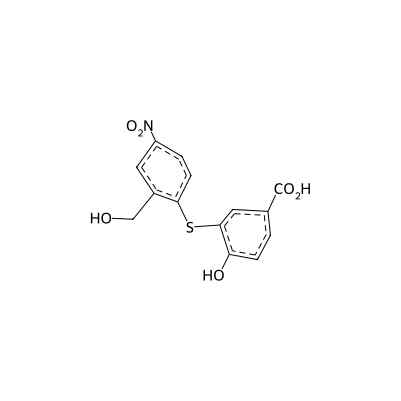 O=C(O)c1ccc(O)c(Sc2ccc([N+](=O)[O-])cc2CO)c1